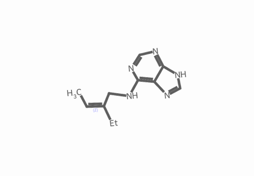 C/C=C(/CC)CNc1ncnc2[nH]cnc12